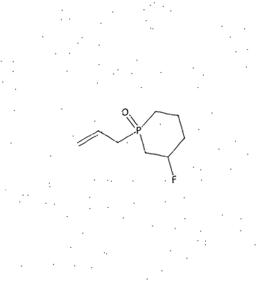 C=CCP1(=O)CCCC(F)C1